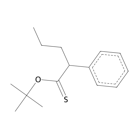 CCCC(C(=S)OC(C)(C)C)c1ccccc1